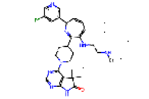 CCNCCNC1=CC=CC(c2cncc(F)c2)N=C1C1CCN(c2ncnc3c2C(C)(C)C(=O)N3)CC1